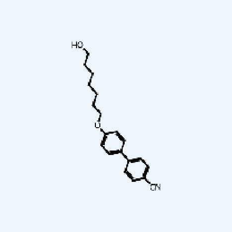 N#Cc1ccc(-c2ccc(OCCCCCCCO)cc2)cc1